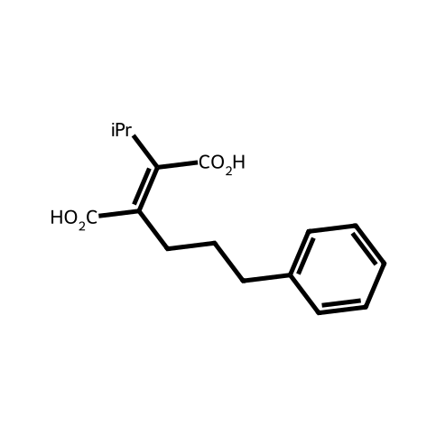 CC(C)C(C(=O)O)=C(CCCc1ccccc1)C(=O)O